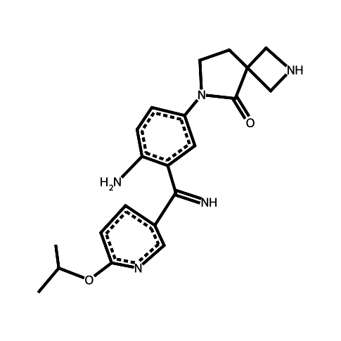 CC(C)Oc1ccc(C(=N)c2cc(N3CCC4(CNC4)C3=O)ccc2N)cn1